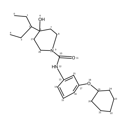 CCC(CC)C1(O)CCN(C(=O)Nc2cccc(OC3CCCCC3)c2)CC1